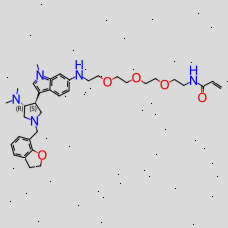 C=CC(=O)NCCOCCOCCOCCNc1ccc2c([C@H]3CN(Cc4cccc5c4OCC5)C[C@@H]3N(C)C)cn(C)c2c1